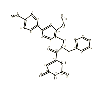 COc1ncc(-c2ccc(CN(Cc3ccccc3)C(=O)c3cc(=O)[nH]c(=O)[nH]3)c(OC(F)(F)F)c2)cn1